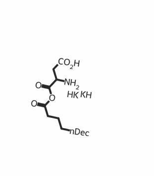 CCCCCCCCCCCCCC(=O)OC(=O)C(N)CC(=O)O.[KH].[KH]